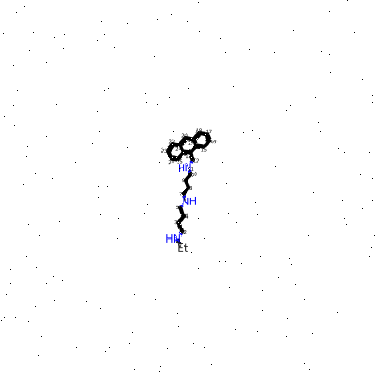 CCNCCCCNCCCCNCc1c2ccccc2cc2ccccc12